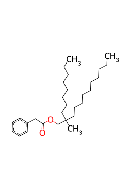 CCCCCCCCCCC(C)(CCCCCCCC)COC(=O)Cc1ccccc1